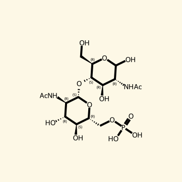 CC(=O)N[C@H]1[C@H](O[C@H]2[C@H](O)[C@@H](NC(C)=O)C(O)O[C@@H]2CO)O[C@H](COP(=O)(O)O)[C@@H](O)[C@@H]1O